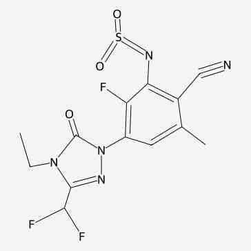 CCn1c(C(F)F)nn(-c2cc(C)c(C#N)c(N=S(=O)=O)c2F)c1=O